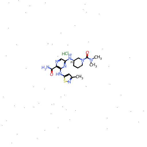 Cc1cc(Nc2nc(N[C@@H]3CCCN(C(=O)N(C)C)C3)cnc2C(N)=O)sn1.Cl